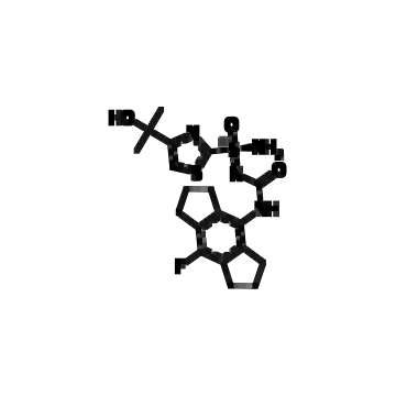 CC(C)(O)c1csc([S@](N)(=O)=NC(=O)Nc2c3c(c(F)c4c2CCC4)CCC3)n1